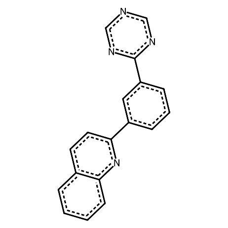 c1cc(-c2ccc3ccccc3n2)cc(-c2ncncn2)c1